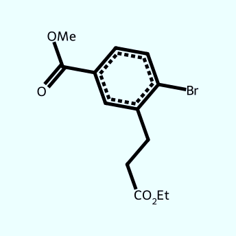 CCOC(=O)CCc1cc(C(=O)OC)ccc1Br